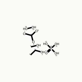 CCO.CO.ClC(Cl)Cl.O=P(O)(O)O.OO